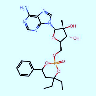 CCC1(CC)CC(c2ccccc2)OP(=O)(OC[C@H]2O[C@@H](n3cnc4c(N)ncnc43)[C@](C)(O)[C@@H]2O)O1